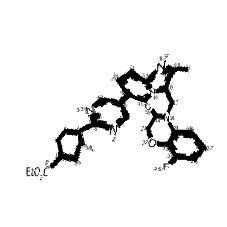 CCOC(=O)C1CC=C(c2ncc(-c3ccc4nc(C)c(CN5C(=O)COc6c(F)cccc65)n4c3)cn2)CC1